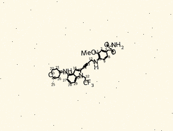 COc1cc(S(N)(=O)=O)ccc1NCC#Cc1cc2c(N[C@@H]3CCO[C@@H](C)C3)cccc2n1CC(F)(F)F